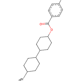 CCCc1ccc(C(=O)OC2CCC(C3CCC(CCC)CC3)CC2)cc1